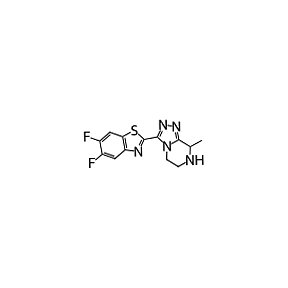 CC1NCCn2c(-c3nc4cc(F)c(F)cc4s3)nnc21